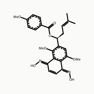 COc1ccc(C(=O)O[C@@H](CC=C(C)C)c2cc(OC)c3c(c2OC)/C(=N/O)C=C/C3=N\O)cc1